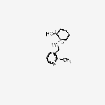 O[C@H]1CCCC[C@@H]1NCc1cccnc1C(F)(F)F